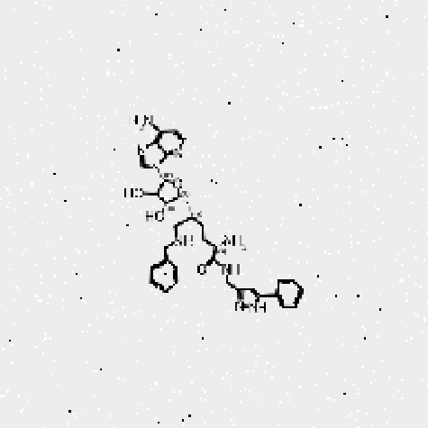 Nc1ccnc2c1ncn2[C@@H]1O[C@H](C[C@H](CC[C@H](N)C(=O)NCc2cc(-c3ccccc3)[nH]n2)CNCc2ccccc2)[C@H](O)C1O